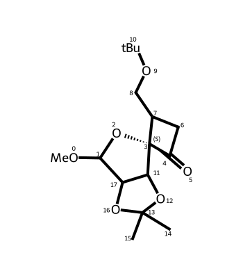 COC1O[C@]2(C(=O)CC2COC(C)(C)C)C2OC(C)(C)OC12